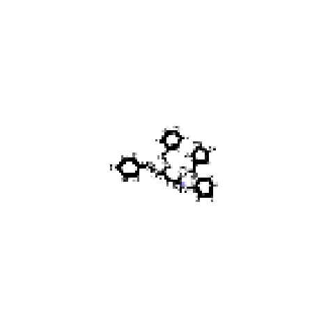 c1ccc(/N=C(/CC(SSc2ccccc2)SSc2ccccc2)OCC2CCCC2)cc1